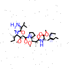 C/C=C\C(=C/CC)C[C@H](NC(=O)[C@H](C)C(OC)[C@@H]1CCCN1C(=O)C[C@@H](OC)C([C@@H](C)CC)N(C)C(=O)[C@@H](N)C(C)C)C(=O)OC